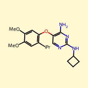 COc1cc(Oc2cnc(NC3CCC3)nc2N)c(C(C)C)cc1OC